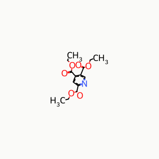 CCOC(=O)c1cc(C(=O)OCC)c(C(=O)OCC)cn1